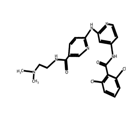 CN(C)CCNC(=O)c1ccc(Nc2cc(NC(=O)c3c(Cl)cccc3Cl)ccn2)nc1